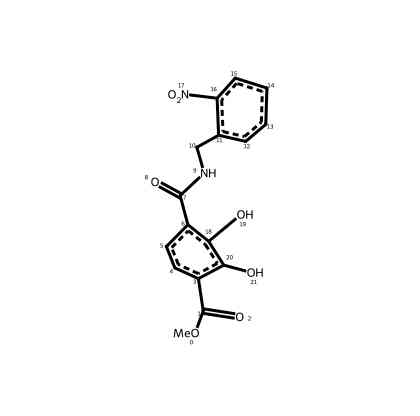 COC(=O)c1ccc(C(=O)NCc2ccccc2[N+](=O)[O-])c(O)c1O